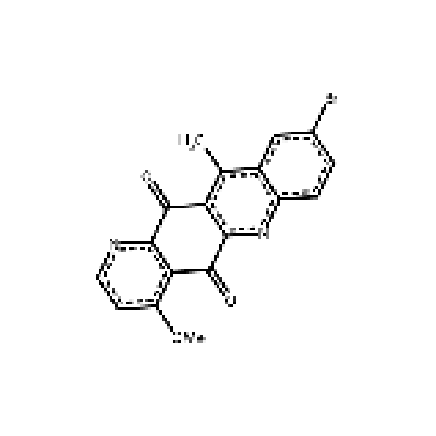 COc1ccnc2c1C(=O)c1nc3ccc(Br)cc3c(C)c1C2=O